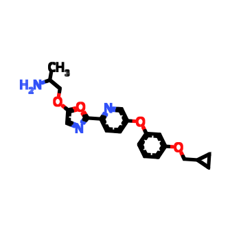 CC(N)COc1cnc(-c2ccc(Oc3cccc(OCC4CC4)c3)cn2)o1